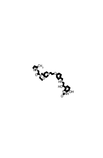 Cc1ccnn1CC(=O)N1CCOC2(CCN(CCOc3ccc(CNC[C@H](O)c4ccc(O)c5[nH]c(=O)sc45)cc3)CC2)C1